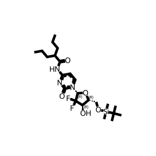 CCCC(CCC)C(=O)Nc1ccn([C@@H]2O[C@H](CO[Si](C)(C)C(C)(C)C)[C@@H](O)C2(F)F)c(=O)n1